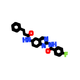 O=C(CCc1ccccc1)NC1CCc2nc(NC(=O)c3ccc(F)cc3)ncc2C1